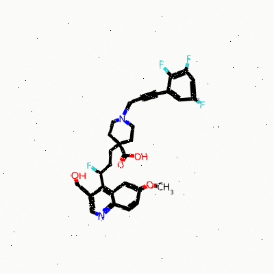 COc1ccc2ncc(CO)c(C(F)CCC3(C(=O)O)CCN(CC#Cc4cc(F)cc(F)c4F)CC3)c2c1